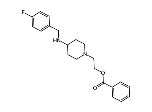 O=C(OCCN1CCC(NCc2ccc(F)cc2)CC1)c1ccccc1